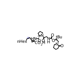 CCCCCC/C=C\C1C[C@]1(NC(=O)[C@@H]1CCCN1C(=O)CNC(=O)O[C@H](CN1CCCCC1=O)C(C)(C)C)C(=O)O